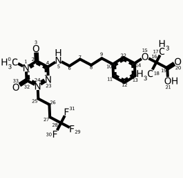 Cn1c(=O)c(NCCCCc2cccc(OC(C)(C)C(=O)O)c2)nn(CCCC(F)(F)F)c1=O